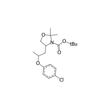 CC(CC1COC(C)(C)N1C(=O)OC(C)(C)C)Oc1ccc(Cl)cc1